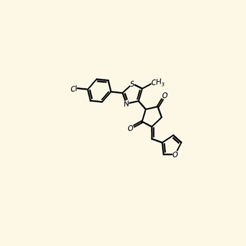 Cc1sc(-c2ccc(Cl)cc2)nc1C1C(=O)C/C(=C\c2ccoc2)C1=O